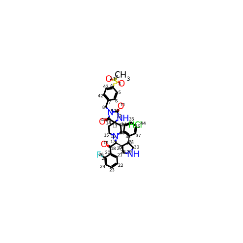 CS(=O)(=O)c1ccc(CN2C(=O)NC3(CCN(C(C(=O)c4ccccc4F)[C@@H]4CNC[C@@H]4c4ccccc4)CC3)C2=O)cc1.Cl